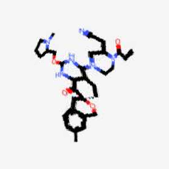 C=CC(=O)N1CCN(C2NC(OCC3CCCN3C)NC3C(=O)[C@]4(CCC32)Cc2ccc(C)cc2CO4)CC1CC#N